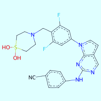 N#Cc1ccc(Nc2ncc3ccn(-c4cc(F)c(CN5CCS(O)(O)CC5)c(F)c4)c3n2)cc1